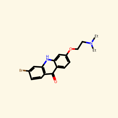 CCN(CC)CCOc1ccc2c(=O)c3ccc(Br)cc3[nH]c2c1